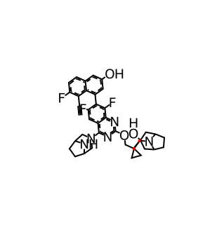 C#Cc1c(F)ccc2cc(O)cc(-c3c(F)cc4c(N5CC6CCC(C5)N6)nc(OCC5(CN6C7CCC6CC(C)(O)C7)CC5)nc4c3F)c12